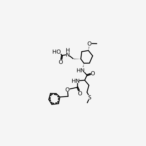 CO[C@@H]1CC[C@H](NC(=O)C(CCSC)NC(=O)OCc2ccccc2)[C@H](CNC(=O)O)C1